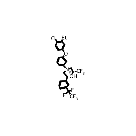 CCc1cc(Oc2cccc(N(CCc3cccc(C(F)(F)C(F)(F)F)c3)C[C@@H](O)C(F)(F)F)c2)ccc1Cl